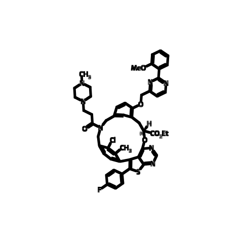 CCOC(=O)[C@H]1Cc2cc(ccc2OCc2ccnc(-c3ccccc3OC)n2)CN(C(=O)CCN2CCN(C)CC2)Cc2ccc(c(C)c2Cl)-c2c(-c3ccc(F)cc3)sc3ncnc(c23)O1